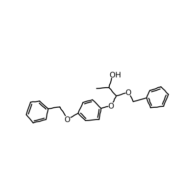 CC(O)C(OCc1ccccc1)Oc1ccc(OCc2ccccc2)cc1